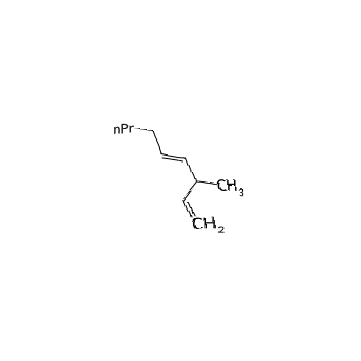 C=CC(C)C=CCCCC